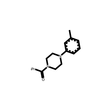 Cc1cccc(N2CCN(C(=O)C(C)C)CC2)c1